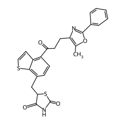 Cc1oc(-c2ccccc2)nc1CCC(=O)c1ccc(CC2SC(=O)NC2=O)c2sccc12